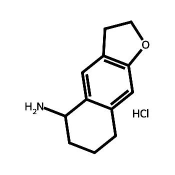 Cl.NC1CCCc2cc3c(cc21)CCO3